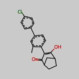 Cc1cc(-c2ccc(Cl)cc2)ccc1C1=C(O)C2CCC(C2)C1=O